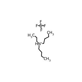 CCCC[NH+](CCC)CCCC.F[B-](F)(F)F